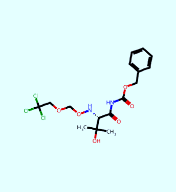 CC(C)(O)[C@H](NOCOCC(Cl)(Cl)Cl)C(=O)NC(=O)OCc1ccccc1